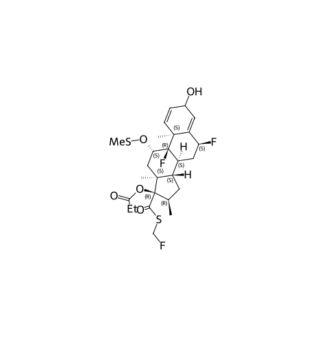 CCC(=O)O[C@]1(C(=O)SCF)[C@H](C)C[C@H]2[C@@H]3C[C@H](F)C4=CC(O)C=C[C@]4(C)[C@@]3(F)[C@@H](OSC)C[C@@]21C